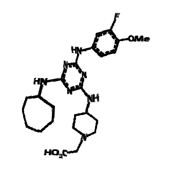 COc1ccc(Nc2nc(NC3CCCCCC3)nc(NC3CCN(CC(=O)O)CC3)n2)cc1F